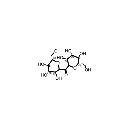 O=C(C1O[C@@H](CO)[C@H](O)[C@@H](O)[C@@H]1O)C1O[C@@H](CO)[C@H](O)[C@@H](O)[C@@H]1O